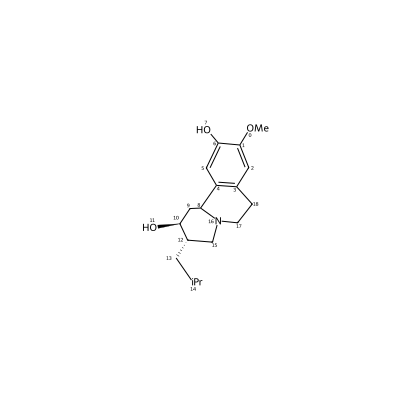 COc1cc2c(cc1O)C1C[C@H](O)[C@@H](CC(C)C)CN1CC2